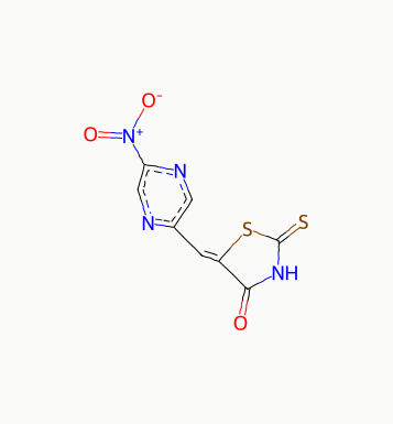 O=C1NC(=S)S/C1=C\c1cnc([N+](=O)[O-])cn1